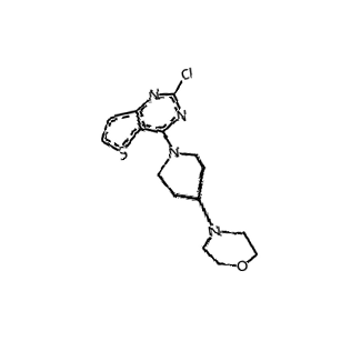 Clc1nc(N2CCC(N3CCOCC3)CC2)c2sccc2n1